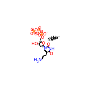 NC=CCc1cn([C@H]2C[C@H](O)[C@@H](COP(=O)([O-])OP(=O)([O-])OP(=O)([O-])[O-])O2)c(=O)[nH]c1=O.[Na+].[Na+].[Na+].[Na+]